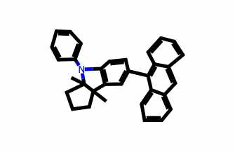 CC12CCCC1(C)N(c1ccccc1)c1ccc(-c3c4ccccc4cc4ccccc34)cc12